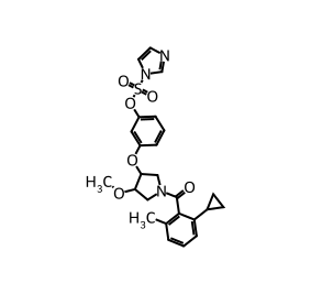 COC1CN(C(=O)c2c(C)cccc2C2CC2)CC1Oc1cccc(OS(=O)(=O)n2ccnc2)c1